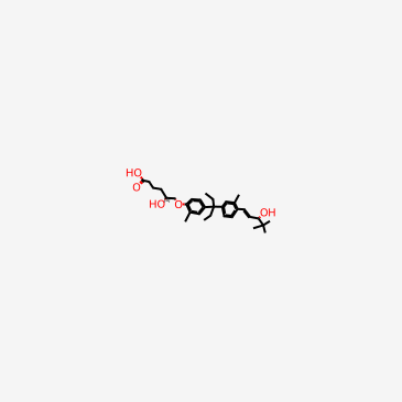 CCC(CC)(c1ccc(C=CC(O)C(C)(C)C)c(C)c1)c1ccc(OC[C@@H](O)CCCC(=O)O)c(C)c1